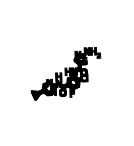 Nc1ncc(C(=O)Nc2cc(C(=O)Nc3ncc(C4CC4)cn3)c(F)cc2Cl)s1